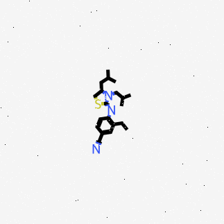 CCc1cc(C#N)ccc1N=C1SCC(CC(C)C)N1CC(C)C